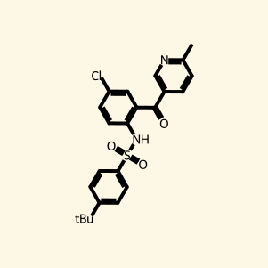 Cc1ccc(C(=O)c2cc(Cl)ccc2NS(=O)(=O)c2ccc(C(C)(C)C)cc2)cn1